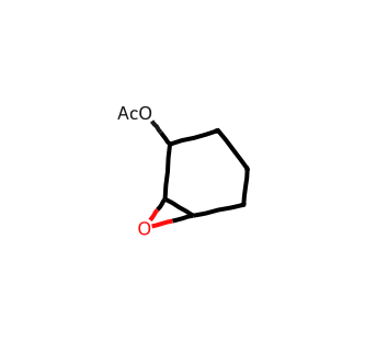 CC(=O)OC1CCCC2OC12